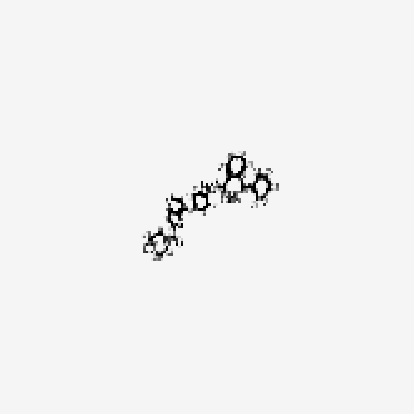 O=C(c1cc2nccc(Sc3ccc(Nc4nnc(-c5ccccc5)c5ccccc45)cc3)c2s1)N1CCOCC1